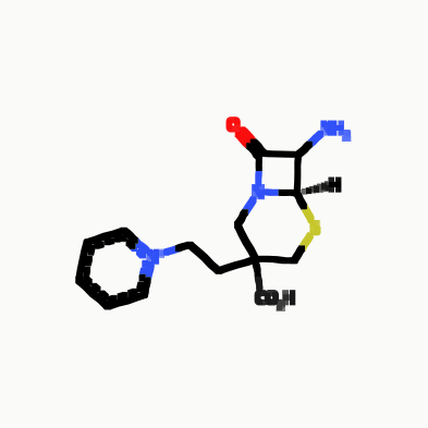 NC1C(=O)N2CC(CC[n+]3ccccc3)(C(=O)O)CS[C@H]12